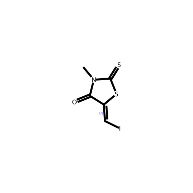 CN1C(=O)/C(=C/I)SC1=S